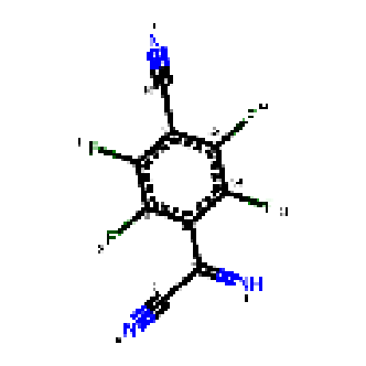 N#CC(=N)c1c(F)c(F)c(C#N)c(F)c1F